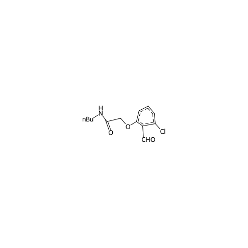 CCCCNC(=O)COc1cccc(Cl)c1C=O